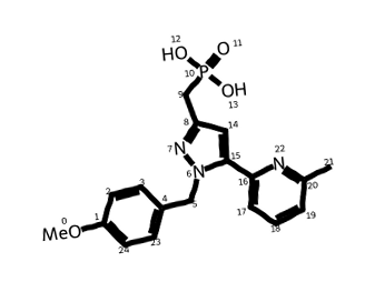 COc1ccc(Cn2nc(CP(=O)(O)O)cc2-c2cccc(C)n2)cc1